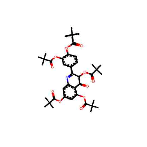 CC(C)(C)C(=O)Oc1cc2c(c(OC(=O)C(C)(C)C)c1)C(=O)C(OC(=O)C(C)(C)C)C(c1ccc(OC(=O)C(C)(C)C)c(OC(=O)C(C)(C)C)c1)=N2